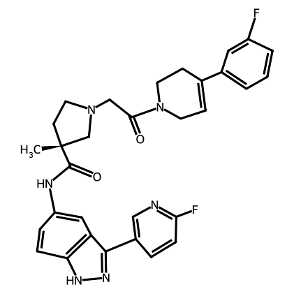 C[C@@]1(C(=O)Nc2ccc3[nH]nc(-c4ccc(F)nc4)c3c2)CCN(CC(=O)N2CC=C(c3cccc(F)c3)CC2)C1